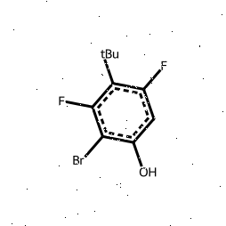 CC(C)(C)c1c(F)cc(O)c(Br)c1F